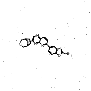 Nc1nc2cc(-c3ccc4ncc(N5C6CCC5COC6)nc4n3)ccc2o1